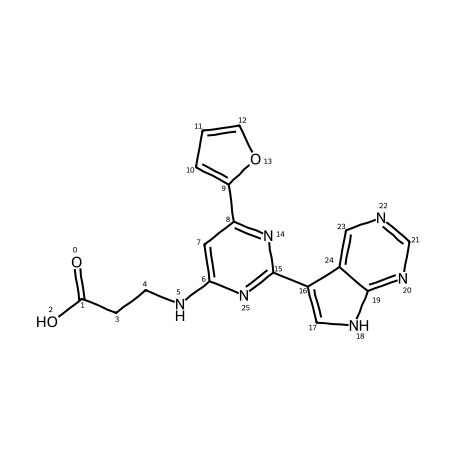 O=C(O)CCNc1cc(-c2ccco2)nc(-c2c[nH]c3ncncc23)n1